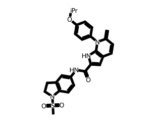 C=C1C=Cc2cc(C(=O)Nc3ccc4c(c3)CCN4S(C)(=O)=O)[nH]c2N1c1ccc(OC(C)C)cc1